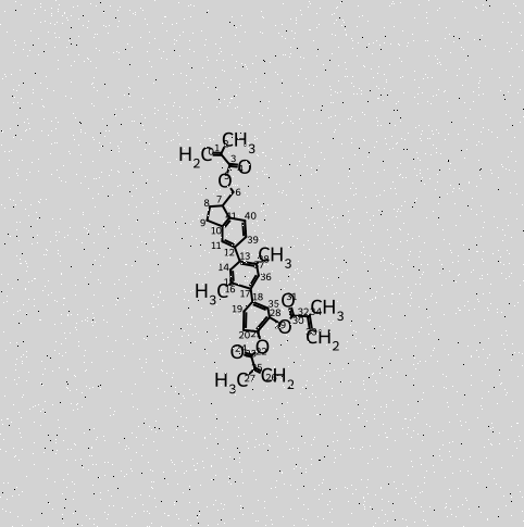 C=C(C)C(=O)OCC1CCc2cc(-c3cc(C)c(-c4ccc(OC(=O)C(=C)C)c(OC(=O)C(=C)C)c4)cc3C)ccc21